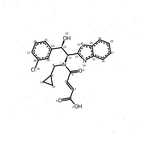 O=C(O)C=CC(=O)N(CC1CC1)[C@H](c1nc2ccccc2s1)[C@H](O)c1cccc(Cl)c1